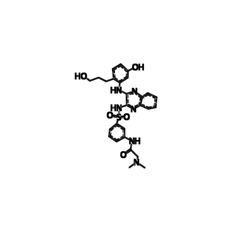 CN(C)CC(=O)Nc1cccc(S(=O)(=O)Nc2nc3ccccc3nc2Nc2cc(O)ccc2CCCO)c1